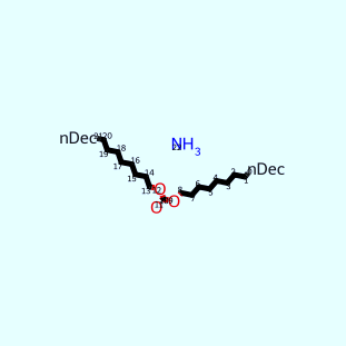 CCCCCCCCCCCCCCCCCCOC(=O)OCCCCCCCCCCCCCCCCCC.N